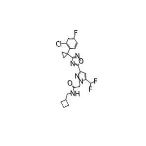 O=C(Cn1nc(-c2nc(C3(c4ccc(F)cc4Cl)CC3)no2)cc1C(F)F)NCC1CCC1